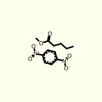 CCCCC(=O)OC.O=[N+]([O-])c1ccc([N+](=O)[O-])cc1